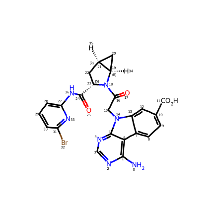 Nc1ncnc2c1c1ccc(C(=O)O)cc1n2CC(=O)N1[C@@H]2C[C@@H]2C[C@H]1C(=O)Nc1cccc(Br)n1